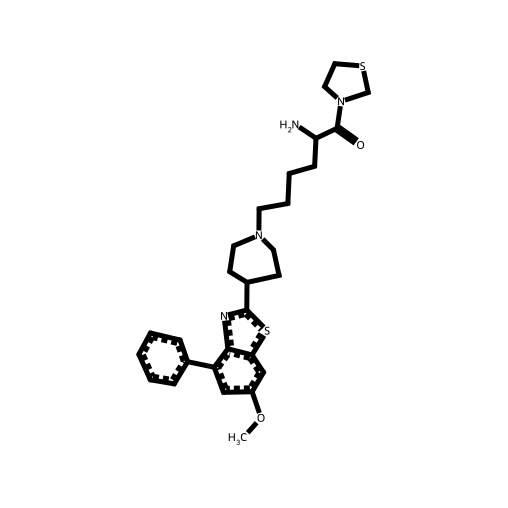 COc1cc(-c2ccccc2)c2nc(C3CCN(CCCCC(N)C(=O)N4CCSC4)CC3)sc2c1